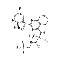 CCC(F)(F)CNC(=O)C(C)(C)Nc1nc(-c2c[nH]c3ncc(F)cc23)nc2c1CCC=C2